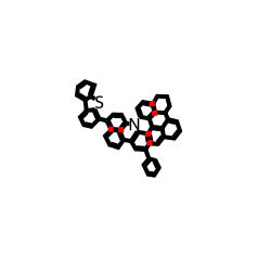 c1ccc(-c2ccc(N(c3ccc(-c4cccc5c4sc4ccccc45)cc3)c3ccccc3-c3cccc4cccc(C5CCCCC5)c34)c(-c3ccccc3)c2)cc1